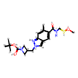 COSCNC(=O)c1cc2cn(CC3CN(C(=O)OC(C)(C)C)C3)nc2cc1C